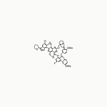 COc1ccc(CN(Cc2ccc(OC)cc2)c2ncc(F)cc2[C@@H](C)N2c3nc(OC[C@@]45CCCN4C[C@H](F)C5)nc4c(F)c(-c5c(C6CC6)c(Cl)cc6c5cnn6C5CCCCO5)nc(c34)OC[C@@H]2C)cc1